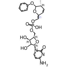 C[C@@H]1C=C/C(=C/OP(=O)(O)OC[C@H]2O[C@@H](n3ccc(N)nc3=O)C(O)[C@H]2O)OC1Oc1ccccc1